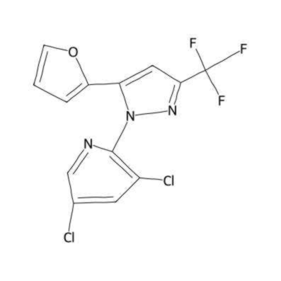 FC(F)(F)c1cc(-c2ccco2)n(-c2ncc(Cl)cc2Cl)n1